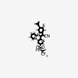 C[C@H](NS(=O)(=O)c1ccc(-c2c(C#N)c3cc(F)c(C4CC4)cc3n2-c2ccccn2)nc1)C(F)(F)F